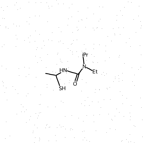 CCN(C(=O)NC(C)S)C(C)C